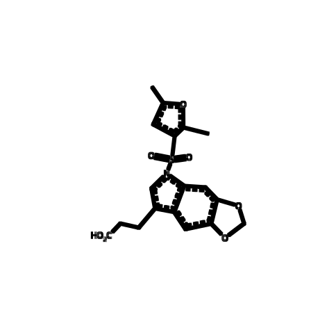 Cc1cc(S(=O)(=O)n2cc(CCC(=O)O)c3cc4c(cc32)OCO4)c(C)o1